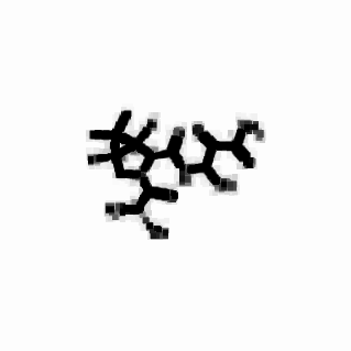 CCCCC(NC(=O)[C@@H]1[C@@H]2[C@H](CN1C(=O)[C@@H](N)C(C)(C)C)C2(C)C)C(=O)C(N)=O